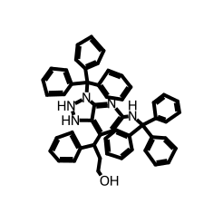 OCCC(c1ccccc1)c1cc(NC(c2ccccc2)(c2ccccc2)c2ccccc2)nc2c1NNN2C(c1ccccc1)(c1ccccc1)c1ccccc1